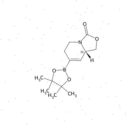 CC1(C)OB(C2=C[C@H]3COC(=O)N3CC2)OC1(C)C